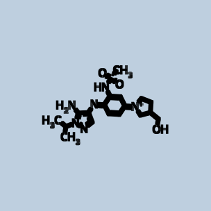 CC(C)n1ncc(N=C2C=CC(=[N+]3CCC(CO)C3)C=C2NS(C)(=O)=O)c1N